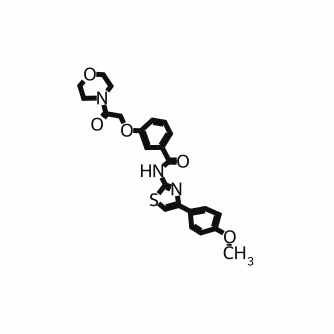 COc1ccc(-c2csc(NC(=O)c3cccc(OCC(=O)N4CCOCC4)c3)n2)cc1